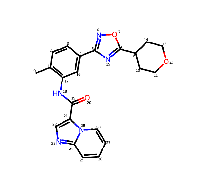 Cc1ccc(-c2noc(C3CCOCC3)n2)cc1NC(=O)c1cnc2ccccn12